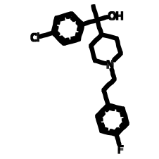 CC(O)(c1ccc(Cl)cc1)C1CCN(CCc2ccc(F)cc2)CC1